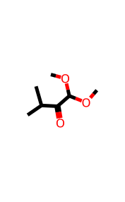 COC(OC)C(=O)C(C)C